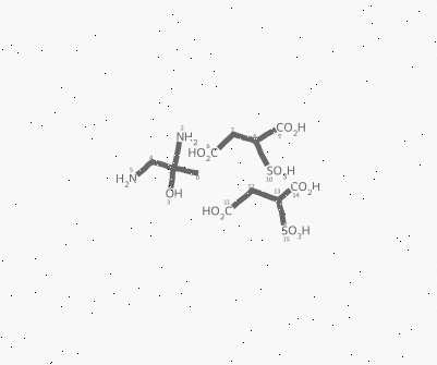 CC(N)(O)CN.O=C(O)CC(C(=O)O)S(=O)(=O)O.O=C(O)CC(C(=O)O)S(=O)(=O)O